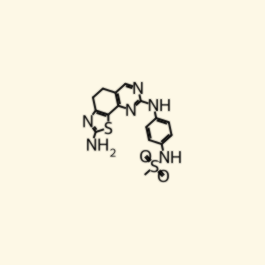 CS(=O)(=O)Nc1ccc(Nc2ncc3c(n2)-c2sc(N)nc2CC3)cc1